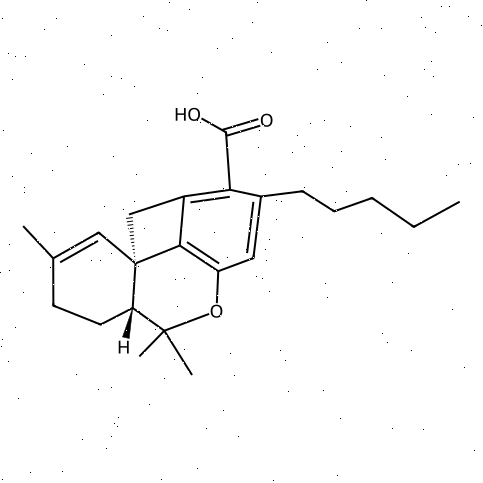 CCCCCc1cc2c3c(c1C(=O)O)C[C@]31C=C(C)CC[C@H]1C(C)(C)O2